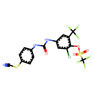 N#CSc1ccc(NC(=O)Nc2cc(Cl)c(OS(=O)(=O)C(F)(F)F)c(C(F)(F)F)c2)cc1